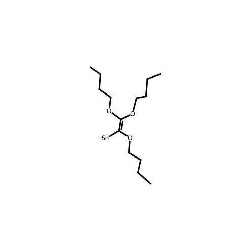 CCCCO[C]([Sn])=C(OCCCC)OCCCC